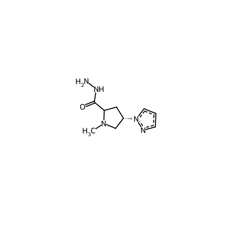 CN1C[C@@H](n2cccn2)CC1C(=O)NN